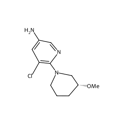 CO[C@@H]1CCCN(c2ncc(N)cc2Cl)C1